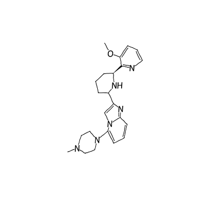 COc1cccnc1[C@@H]1CCCC(c2cn3c(N4CCN(C)CC4)cccc3n2)N1